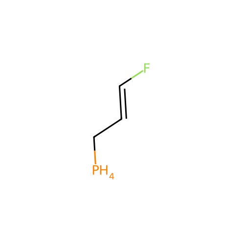 FC=CC[PH4]